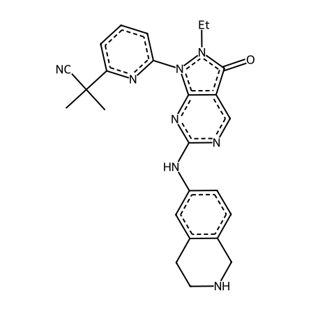 CCn1c(=O)c2cnc(Nc3ccc4c(c3)CCNC4)nc2n1-c1cccc(C(C)(C)C#N)n1